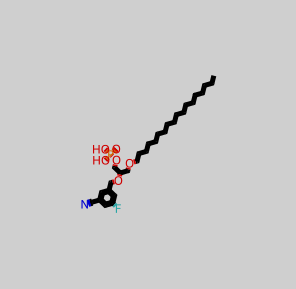 CCCCCCCCCCCCCCCCCCOCC(COP(=O)(O)O)OCc1cc(F)cc(C#N)c1